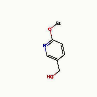 CCOc1ccc(CO)cn1